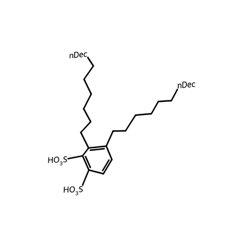 CCCCCCCCCCCCCCCCc1ccc(S(=O)(=O)O)c(S(=O)(=O)O)c1CCCCCCCCCCCCCCCC